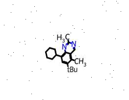 Cc1ncc2c(C)c(C(C)(C)C)cc(C3CCCCC3)c2n1